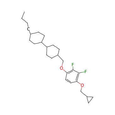 CCCCC1CCC(C2CCC(COc3ccc(OCC4CC4)c(F)c3F)CC2)CC1